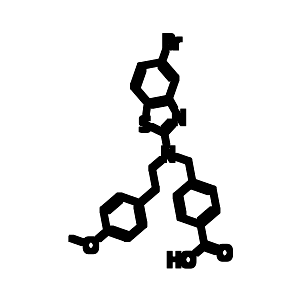 COc1ccc(CCN(Cc2ccc(C(=O)O)cc2)c2nc3cc(Br)ccc3s2)cc1